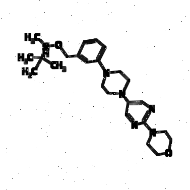 C[SiH](OCc1cccc(N2CCN(c3cnc(N4CCOCC4)nc3)CC2)c1)C(C)(C)C